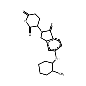 CC1CCCCC1Nc1ccc2c(c1)CN(C1CCC(=O)NC1=O)C2=O